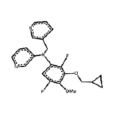 COc1c(F)cc(N(Cc2cccnc2)c2cccnc2)c(F)c1OCC1CC1